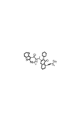 CC(NC(=O)c1c(N)nn2cccnc12)c1cc2cccc(C#C[C@H](C)O)c2c(=O)n1-c1ccccc1